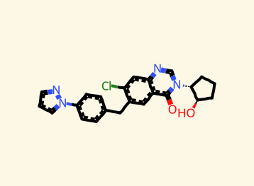 O=c1c2cc(Cc3ccc(-n4cccn4)cc3)c(Cl)cc2ncn1[C@@H]1CCC[C@H]1O